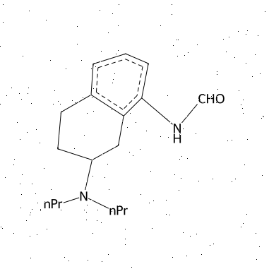 CCCN(CCC)C1CCc2cccc(NC=O)c2C1